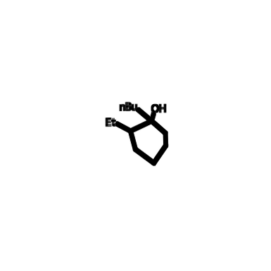 CCCCC1(O)CCCCC1CC